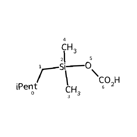 CCCC(C)C[Si](C)(C)OC(=O)O